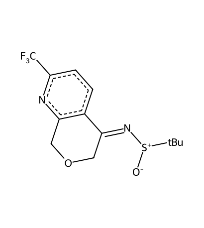 CC(C)(C)[S+]([O-])N=C1COCc2nc(C(F)(F)F)ccc21